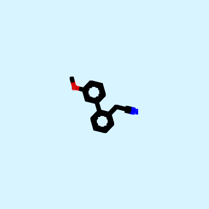 COc1cccc(-c2ccccc2CC#N)c1